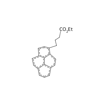 CCOC(=O)CCCc1ccc2ccc3cccc4ccc1c2c34